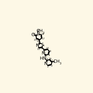 Cc1ccnc(Nc2cccc(-c3cnc(-c4ccn(C)c(=O)c4)s3)n2)c1